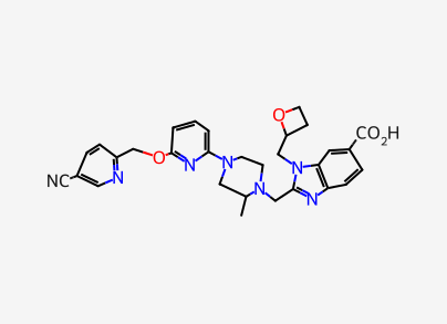 CC1CN(c2cccc(OCc3ccc(C#N)cn3)n2)CCN1Cc1nc2ccc(C(=O)O)cc2n1CC1CCO1